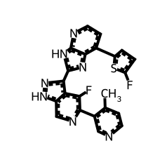 Cc1ccncc1-c1ncc2[nH]nc(-c3nc4c(-c5ccc(F)s5)ccnc4[nH]3)c2c1F